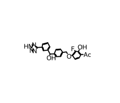 CC(=O)c1ccc(OCc2ccc(C(O)c3cccc(-c4nn[nH]n4)c3)cc2)c(F)c1O